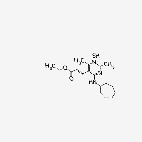 CCOC(=O)C=CC1=C(C)N(S)C(C)N=C1NC1CCCCCC1